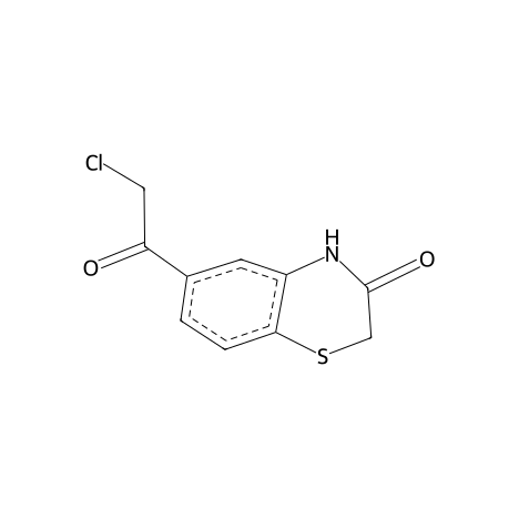 O=C1CSc2ccc(C(=O)CCl)cc2N1